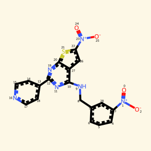 O=[N+]([O-])c1cccc(CNc2nc(-c3ccncc3)nc3sc([N+](=O)[O-])cc23)c1